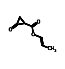 CC=COC(=O)C1CC1=O